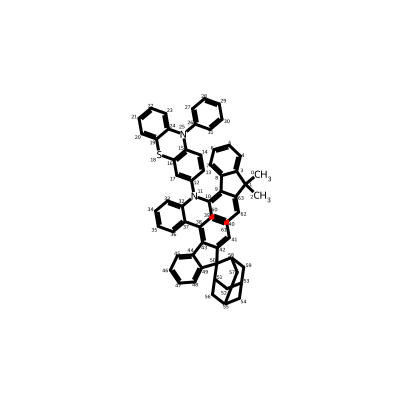 CC1(C)c2ccccc2-c2c(N(c3ccc4c(c3)Sc3ccccc3N4c3ccccc3)c3ccccc3-c3cccc4c3-c3ccccc3C43C4CC5CC(C4)CC3C5)cccc21